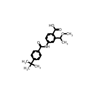 COC(C)c1cc(NC(=O)c2ccc(C(C)(C)C)cc2)ccc1C(=O)O